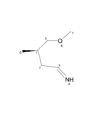 [CH2][C@H](CC=N)COC